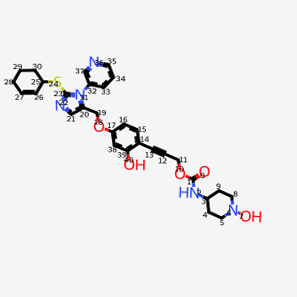 O=C(NC1CCN(O)CC1)OCC#Cc1ccc(OCc2cnc(SC3C=CCCC3)n2-c2cccnc2)cc1O